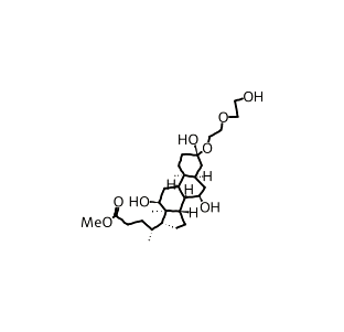 COC(=O)CC[C@@H](C)[C@H]1CC[C@H]2[C@@H]3[C@H](O)C[C@@H]4C[C@@](O)(OCCOCCO)CC[C@]4(C)[C@H]3C[C@H](O)[C@]12C